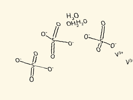 O.O.O.O=S(=O)([O-])[O-].O=S(=O)([O-])[O-].O=S(=O)([O-])[O-].[V+3].[V+3]